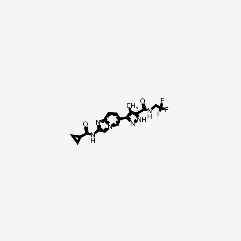 Cc1c(-c2ccc3nc(NC(=O)C4CC4)cn3c2)n[nH]c1C(=O)NCC(F)(F)F